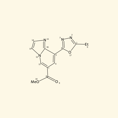 CCc1nnc(-c2cc(C(=O)OC)cn3ccnc23)o1